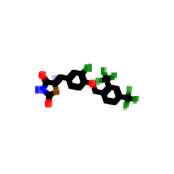 O=C1NC(=O)/C(=C/c2ccc(OCc3ccc(C(F)(F)F)cc3C(F)(F)F)c(Cl)c2)S1